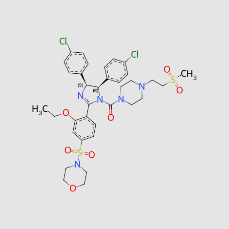 CCOc1cc(S(=O)(=O)N2CCOCC2)ccc1C1=N[C@@H](c2ccc(Cl)cc2)[C@@H](c2ccc(Cl)cc2)N1C(=O)N1CCN(CCS(C)(=O)=O)CC1